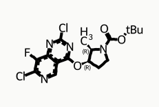 C[C@@H]1[C@H](Oc2nc(Cl)nc3c(F)c(Cl)ncc23)CCN1C(=O)OC(C)(C)C